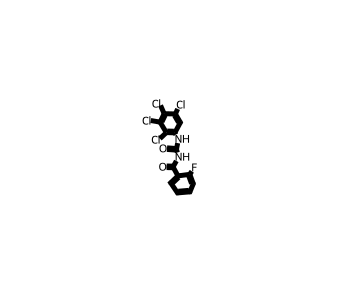 O=C(NC(=O)c1ccccc1F)Nc1cc(Cl)c(Cl)c(Cl)c1Cl